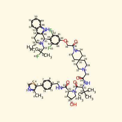 Cc1ncsc1-c1ccc(CNC(=O)[C@@H]2C[C@@H](O)CN2C(=O)[C@@H](NC(=O)CN2CCC3(CC2)CCN(C(=O)COc2cc(F)c([C@@H]4c5[nH]c6ccccc6c5C[C@@H](C)N4CC(C)(C)F)c(F)c2)CC3)C(C)(C)C)cc1